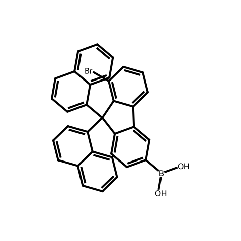 OB(O)c1ccc2c(c1)-c1cccc(Br)c1C2(c1cccc2ccccc12)c1cccc2ccccc12